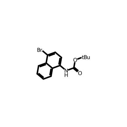 CC(C)(C)OC(=O)Nc1ccc(Br)c2ccccc12